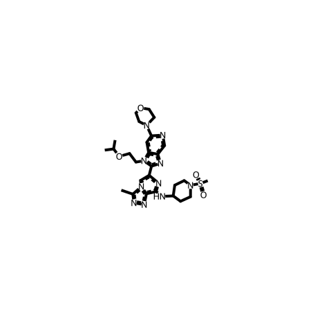 Cc1nnc2c(NC3CCN(S(C)(=O)=O)CC3)nc(-c3nc4cnc(N5CCOCC5)cc4n3CCOC(C)C)cn12